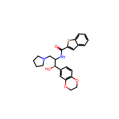 O=C(NC(CN1CCCC1)[C@H](O)c1ccc2c(c1)OCCO2)c1cc2ccccc2s1